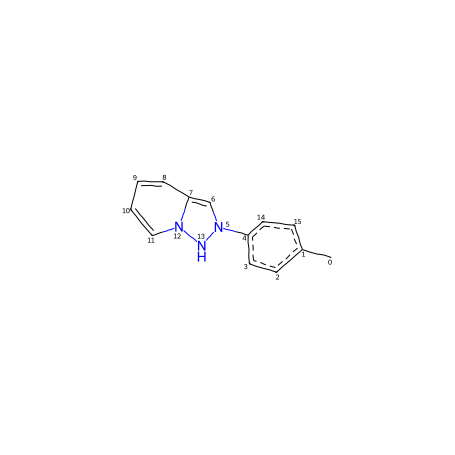 Cc1ccc(N2C=C3C=CC=CN3N2)cc1